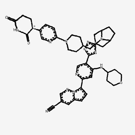 N#Cc1cnn2c(-c3cc(NC4CCOCC4)c(-c4nnc(N5C6CCC5CN(CC5CCN(c7ccc([C@@H]8CCC(=O)NC8=O)cn7)CC5)C6)s4)cn3)ccc2c1